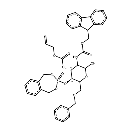 C=CCOC(=O)O[C@@H]1C(NC(=O)OCC2c3ccccc3-c3ccccc32)C(O)OC(COCc2ccccc2)[C@H]1OP1(=O)OCc2ccccc2CO1